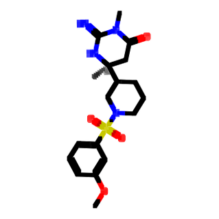 COc1cccc(S(=O)(=O)N2CCCC([C@]3(C)CC(=O)N(C)C(=N)N3)C2)c1